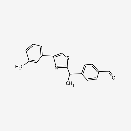 Cc1cccc(-c2csc(C(C)c3ccc(C=O)cc3)n2)c1